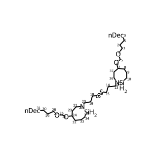 CCCCCCCCCCCCCOCOC1CCC[SiH2]N(CCCSSCCCN2CCC(OCOCCCCCCCCCCCCC)CCC[SiH2]2)CC1